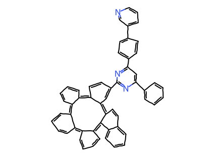 c1ccc(-c2cc(-c3ccc(-c4cccnc4)cc3)nc(-c3ccc4c5ccccc5c5ccccc5c5ccccc5c5c6ccccc6ccc5c4c3)n2)cc1